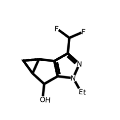 CCn1nc(C(F)F)c2c1C(O)C1CC21